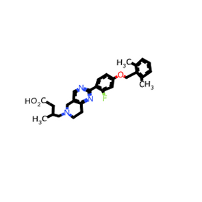 Cc1cccc(C)c1COc1ccc(-c2ncc3c(n2)CCN(CC(C)CC(=O)O)C3)c(F)c1